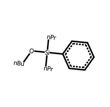 CCCCO[Si](CCC)(CCC)c1ccccc1